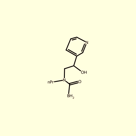 BC(=O)N(CCC)CC(O)c1cccnc1